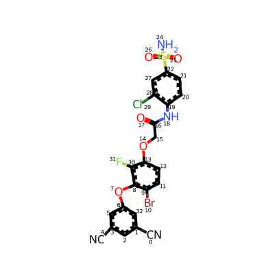 N#Cc1cc(C#N)cc(Oc2c(Br)ccc(OCC(=O)Nc3ccc(S(N)(=O)=O)cc3Cl)c2F)c1